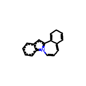 C1=Cn2c(cc3ccccc32)C2=CCC=CC2=C1